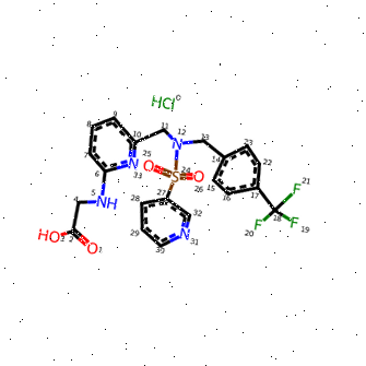 Cl.O=C(O)CNc1cccc(CN(Cc2ccc(C(F)(F)F)cc2)S(=O)(=O)c2cccnc2)n1